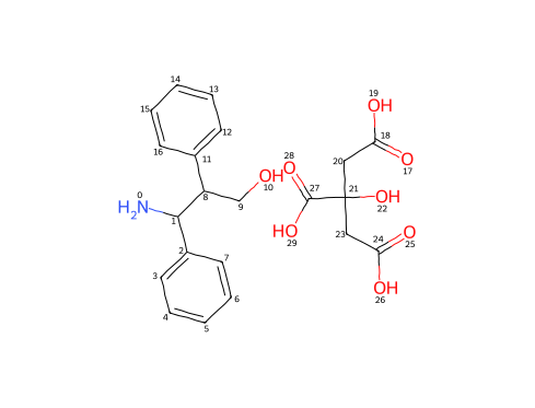 NC(c1ccccc1)C(CO)c1ccccc1.O=C(O)CC(O)(CC(=O)O)C(=O)O